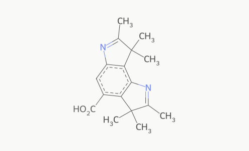 CC1=Nc2cc(C(=O)O)c3c(c2C1(C)C)N=C(C)C3(C)C